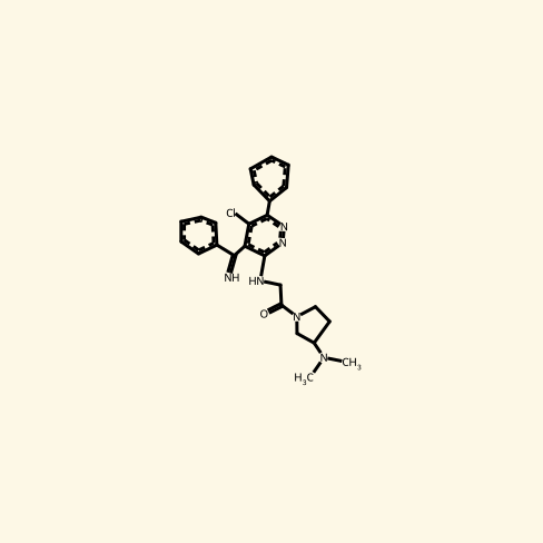 CN(C)C1CCN(C(=O)CNc2nnc(-c3ccccc3)c(Cl)c2C(=N)c2ccccc2)C1